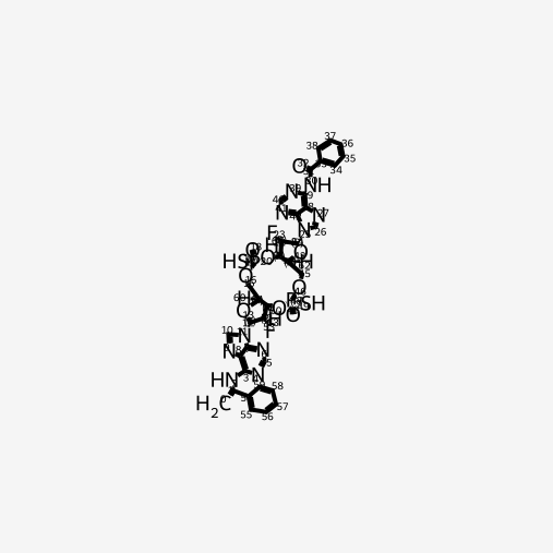 C=C(Nc1ncnc2c1ncn2[C@@H]1O[C@@H]2CO[P@@](=O)(S)O[C@H]3[C@@H](F)[C@H](n4cnc5c(NC(=O)c6ccccc6)ncnc54)O[C@@H]3CO[P@@](=O)(S)O[C@H]2[C@H]1F)c1ccccc1